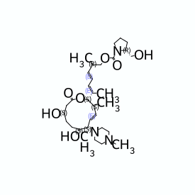 C/C(=C\C=C\[C@@H](C)COC(=O)N1CCC[C@@H]1CO)[C@H]1OC(=O)C[C@@H](O)CC[C@](C)(O)[C@@H](N2CCN(C)CC2)/C=C/[C@@H]1C